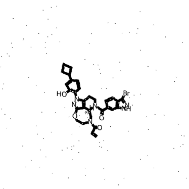 C=CC(=O)N1CCOc2nn(-c3ccc(C4CCC4)cc3O)c3c2[C@H](C1)N(C(=O)c1ccc2c(Br)n[nH]c2c1)CC3